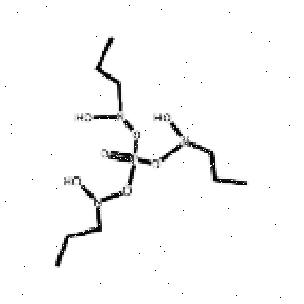 CCCN(O)OP(=O)(ON(O)CCC)ON(O)CCC